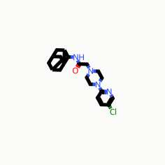 O=C(CN1CCN(c2ccc(Cl)cn2)CC1)NC1C2CC3CC(C2)CC1C3